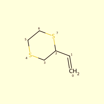 C=CC1CSCCS1